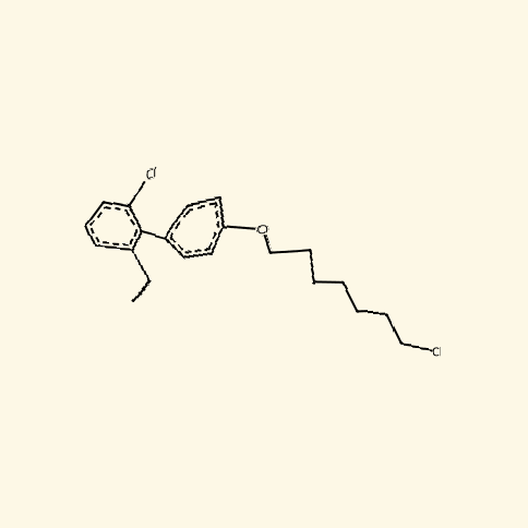 CCc1cccc(Cl)c1-c1ccc(OCCCCCCCCl)cc1